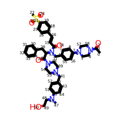 CC(=O)N1CCN(c2ccc(CN(C(=O)C=Cc3ccc(S(C)(=O)=O)cc3)C(Cc3ccccc3)C(=O)N3CCN(Cc4ccc(N(C)CCO)cc4)CC3)cc2)CC1